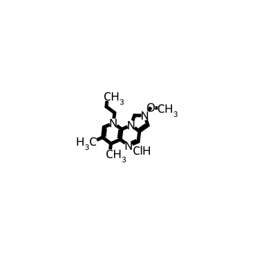 CCCN1C=C(C)C(C)C2=C1N1CN(OC)C=C1C=N2.Cl